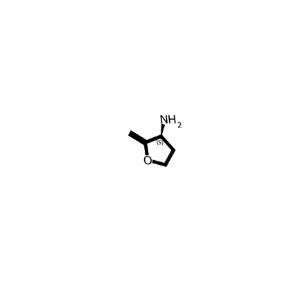 C=C1OCC[C@@H]1N